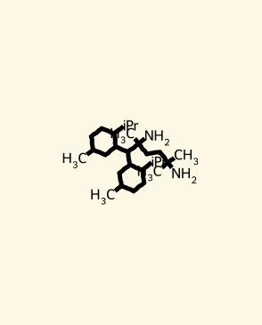 CC1CCC(C(C)C)C(C(C2CC(C)CCC2C(C)C)C(C)(N)CCC(C)(C)N)C1